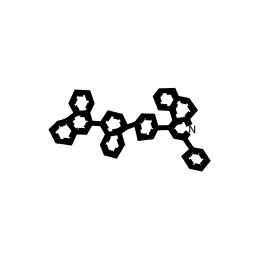 c1ccc(-c2cc(-c3ccc(-c4ccc(-c5cc6ccccc6c6ccccc56)c5ccccc45)cc3)c3c(ccc4ccccc43)n2)cc1